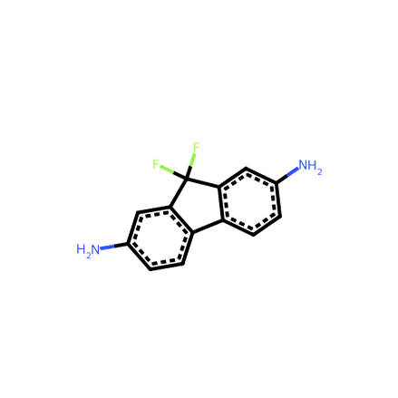 Nc1ccc2c(c1)C(F)(F)c1cc(N)ccc1-2